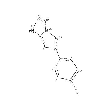 Fc1ccc(-c2cc3[nH]ccn3n2)cc1